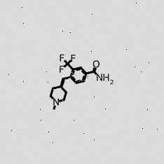 CN1CCC(=Cc2ccc(C(N)=O)cc2C(F)(F)F)CC1